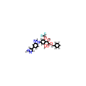 COc1cc(-n2cnc3cc(-c4cnn(C)c4)ccc32)cc(OC(F)F)c1C(=O)C(=O)OCc1ccccc1